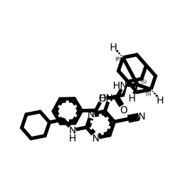 N#Cc1cnc(NCC2CCCCC2)nc1NC[C@]12CC3C[C@H](C1)[C@@H](NC(=O)OCc1ccccc1)[C@@H](C3)C2